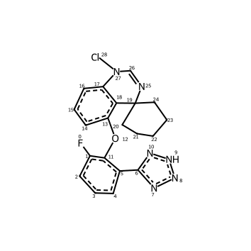 Fc1cccc(-c2nn[nH]n2)c1Oc1cccc2c1C1(CCCCC1)N=CN2Cl